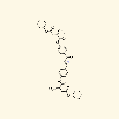 C=C(CC(=O)OC1CCCCC1)C(=O)Oc1ccc(/C=C/C(=O)c2ccc(OC(=O)C(=C)CC(=O)OC3CCCCC3)cc2)cc1